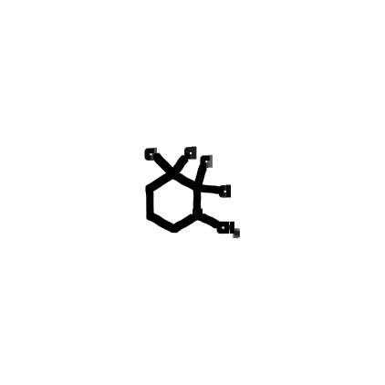 CN1CCCC(Cl)(Cl)C1(Cl)Cl